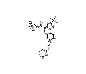 CC(C)(C)c1cc(NC(=O)OCC(Cl)(Cl)Cl)n(-c2ccc(OCCN3CCOCC3)cc2)n1